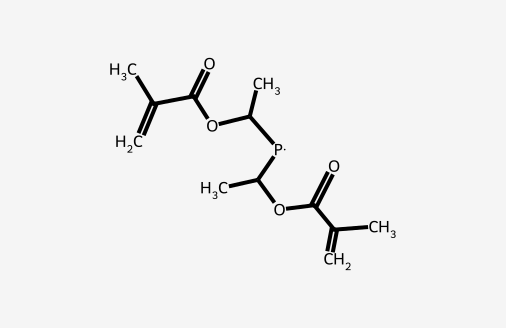 C=C(C)C(=O)OC(C)[P]C(C)OC(=O)C(=C)C